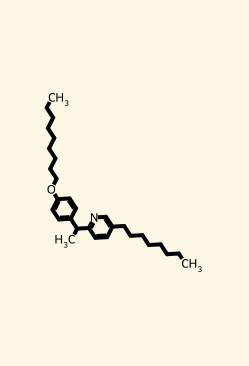 CCCCCCCCCOc1ccc(C(C)c2ccc(CCCCCCCC)cn2)cc1